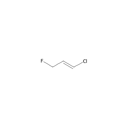 FC/C=C/Cl